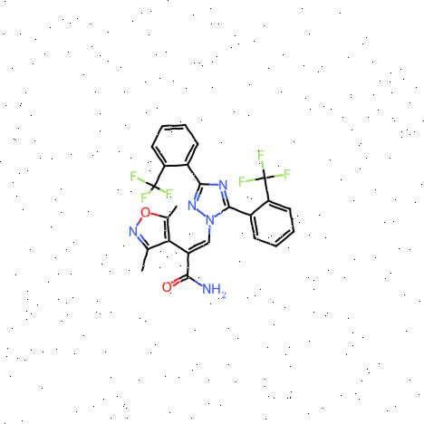 Cc1noc(C)c1/C(=C\n1nc(-c2ccccc2C(F)(F)F)nc1-c1ccccc1C(F)(F)F)C(N)=O